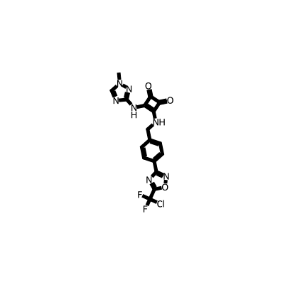 Cn1cnc(Nc2c(NCc3ccc(-c4noc(C(F)(F)Cl)n4)cc3)c(=O)c2=O)n1